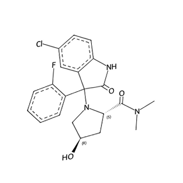 CN(C)C(=O)[C@@H]1C[C@@H](O)CN1C1(c2ccccc2F)C(=O)Nc2ccc(Cl)cc21